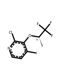 C[C@H](Oc1c(I)ccnc1Cl)C(F)(F)F